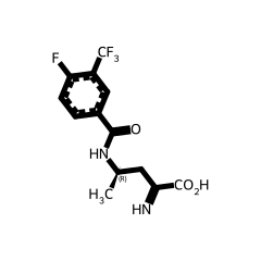 C[C@H](CC(=N)C(=O)O)NC(=O)c1ccc(F)c(C(F)(F)F)c1